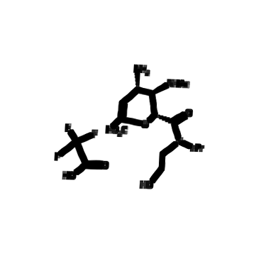 CCCN(CCO)C(=O)[C@@H]1OC(C(=O)O)=C[C@H](N)[C@H]1NC(C)=O.O=C(O)C(F)(F)F